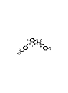 COc1cccc(CNC(=O)c2nc3ccc(F)c(OCc4ccc(CC(=O)O)cc4)c3c(=O)[nH]2)c1